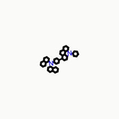 c1ccc(-n2c3cccc4ccc5c(-c6ccc(N(c7cccc8ccccc78)c7cccc8ccccc78)cc6)ccc2c5c43)cc1